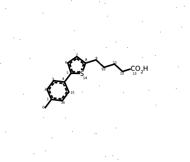 Cc1ccc(-c2ccc(CCCCC(=O)O)s2)cc1